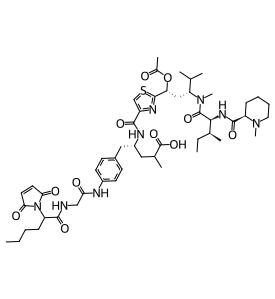 CCCCC(C(=O)NCC(=O)Nc1ccc(C[C@@H](CC(C)C(=O)O)NC(=O)c2csc([C@@H](C[C@H](C(C)C)N(C)C(=O)[C@@H](NC(=O)[C@H]3CCCCN3C)[C@@H](C)CC)OC(C)=O)n2)cc1)N1C(=O)C=CC1=O